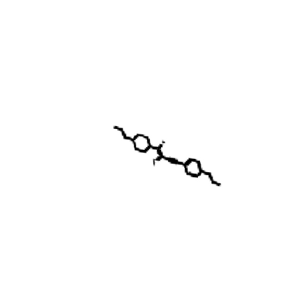 CCCc1ccc(C#C/C(F)=C(\F)C2CCC(CCC)CC2)cc1